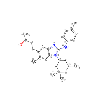 COC(=O)CCc1cc2nc(Nc3ccc(C(C)C)cc3)n(C3CC(C)CC(C)(C)C3)c2cc1C